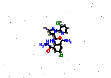 NCc1cc(Cl)cc(C(=O)NN)c1NC(=O)c1cc(I)nn1-c1ncccc1Cl